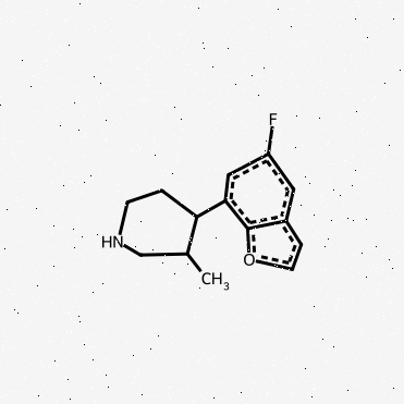 CC1CNCCC1c1cc(F)cc2ccoc12